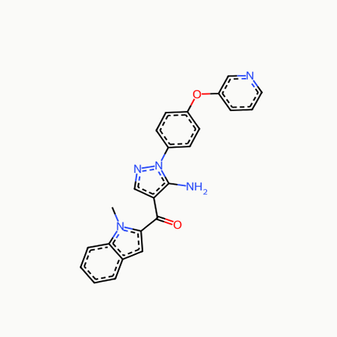 Cn1c(C(=O)c2cnn(-c3ccc(Oc4cccnc4)cc3)c2N)cc2ccccc21